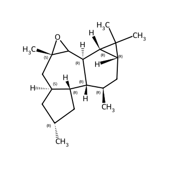 C[C@@H]1C[C@H]2C[C@]3(C)OC3[C@@H]3[C@@H]([C@@H]2C1)[C@H](C)C[C@@H]1[C@H]3C1(C)C